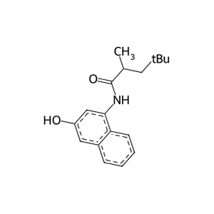 CC(CC(C)(C)C)C(=O)Nc1cc(O)cc2ccccc12